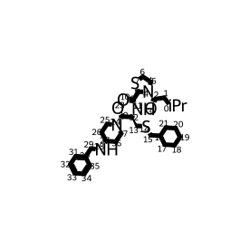 CC(C)CC(=O)N1[CH]CSC1C(=O)N[C@@H](CSCC1CCCCC1)C(=O)N1CCC(NCc2ccccc2)CC1